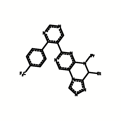 CCC1c2nncn2-c2cnc(-c3cncnc3-c3ccc(C(F)(F)F)cc3)nc2N1C(C)C